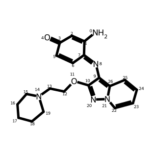 NC1=CC(=O)C=C/C1=N\c1c(OCCN2CCCCC2)nn2ccccc12